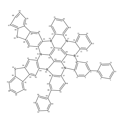 c1ccc(-c2ccc3c(c2)B2c4ccccc4N4c5ccccc5B5c6cc7c(cc6N6c8cc9sc%10ccccc%10c9cc8B8c9cc(-c%10ccccc%10)ccc9N3c3c2c4c5c6c38)sc2ccccc27)cc1